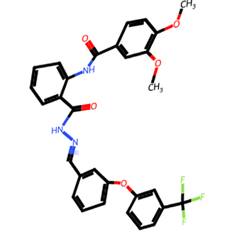 COc1ccc(C(=O)Nc2ccccc2C(=O)N/N=C/c2cccc(Oc3cccc(C(F)(F)F)c3)c2)cc1OC